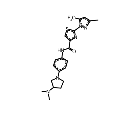 Cc1cc(C(F)(F)F)n(-c2nc(C(=O)Nc3ccc(N4CCC(N(C)C)C4)cc3)cs2)n1